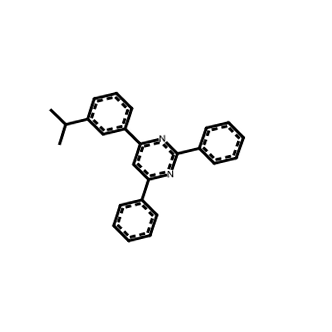 CC(C)c1cccc(-c2cc(-c3ccccc3)nc(-c3ccccc3)n2)c1